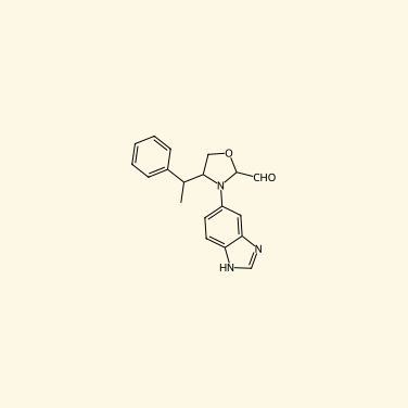 CC(c1ccccc1)C1COC(C=O)N1c1ccc2[nH]cnc2c1